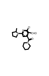 CC1CCCN1c1cc(C(=O)N2CCCCC2)c(C=O)c(Cl)n1